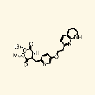 COC(=O)C(Cc1ccc(OCCc2ccc3c(n2)NCCC3)cn1)NC(=O)OC(C)(C)C